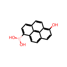 OB(O)c1ccc2ccc3c(O)ccc4ccc1c2c43